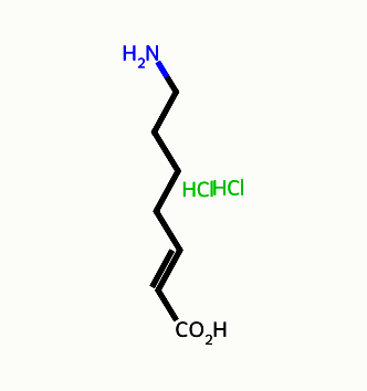 Cl.Cl.NCCCC/C=C/C(=O)O